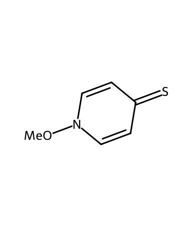 COn1ccc(=S)cc1